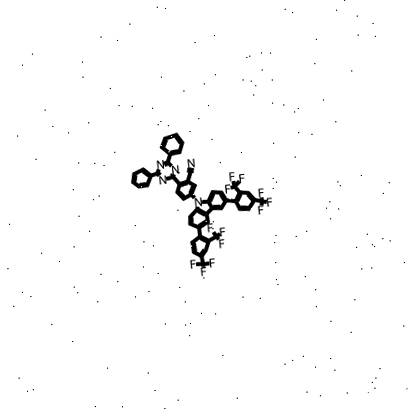 N#Cc1cc(-n2c3ccc(-c4ccc(C(F)(F)F)cc4C(F)(F)F)cc3c3cc(-c4ccc(C(F)(F)F)cc4C(F)(F)F)ccc32)ccc1-c1nc(-c2ccccc2)nc(-c2ccccc2)n1